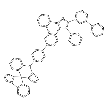 c1ccc(-c2cccc(-c3oc4c5ccccc5c5cc(-c6ccc(N7c8ccccc8C8(c9ccccc9-c9ccccc98)c8ccccc87)cc6)ccc5c4c3-c3ccccc3)c2)cc1